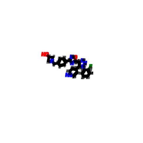 OC1CN(Cc2ccc(-c3noc(-c4nnn(-c5ccccc5F)c4C4=CCNC=C4)n3)cc2)C1